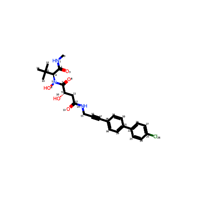 CNC(=O)[C@@H](N(O)C(=O)[C@@H](O)CC(=O)NCC#Cc1ccc(-c2ccc(Cl)cc2)cc1)C(C)(C)C